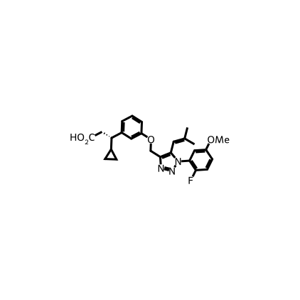 COc1ccc(F)c(-n2nnc(COc3cccc([C@@H](CC(=O)O)C4CC4)c3)c2C=C(C)C)c1